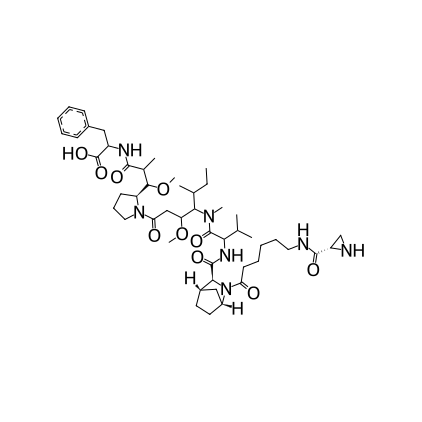 CCC(C)C(C(CC(=O)N1CCC[C@H]1C(OC)C(C)C(=O)NC(Cc1ccccc1)C(=O)O)OC)N(C)C(=O)C(NC(=O)[C@@H]1[C@H]2CC[C@H](C2)N1C(=O)CCCCCNC(=O)[C@@H]1CN1)C(C)C